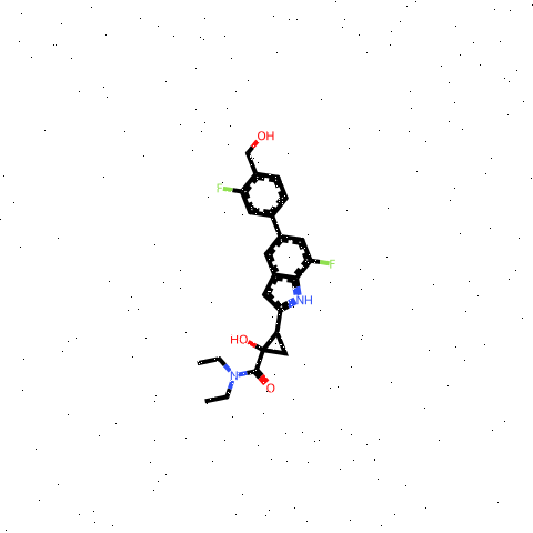 CCN(CC)C(=O)C1(O)CC1c1cc2cc(-c3ccc(CO)c(F)c3)cc(F)c2[nH]1